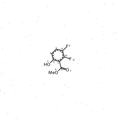 COC(=O)c1c(O)ccc(F)c1F